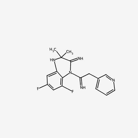 CC1(C)Nc2cc(F)cc(F)c2N(C(=N)Cc2cccnc2)C1=N